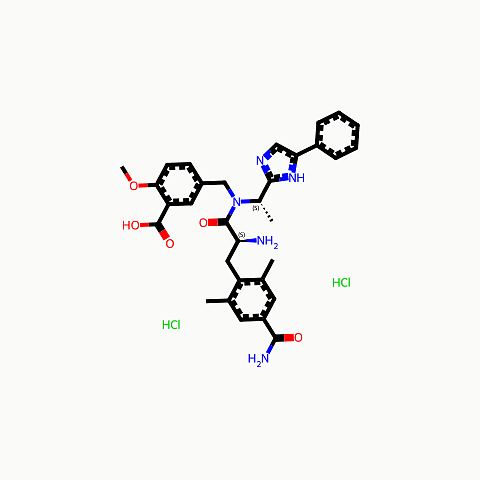 COc1ccc(CN(C(=O)[C@@H](N)Cc2c(C)cc(C(N)=O)cc2C)[C@@H](C)c2ncc(-c3ccccc3)[nH]2)cc1C(=O)O.Cl.Cl